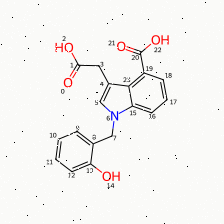 O=C(O)Cc1cn(Cc2ccccc2O)c2cccc(C(=O)O)c12